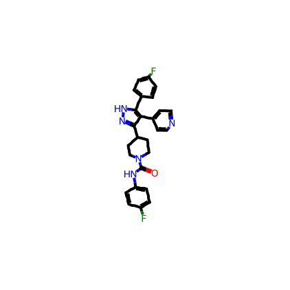 O=C(Nc1ccc(F)cc1)N1CCC(c2n[nH]c(-c3ccc(F)cc3)c2-c2ccncc2)CC1